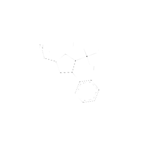 CC(C)(C)C1C[C](CN)CC1c1ccccc1